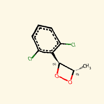 C[C@@H]1OO[C@H]1c1c(Cl)cccc1Cl